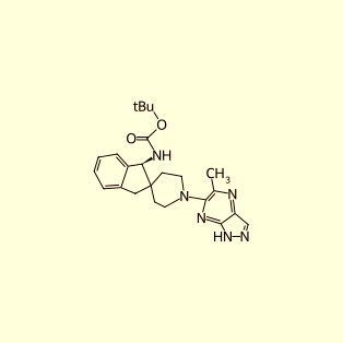 Cc1nc2cn[nH]c2nc1N1CCC2(CC1)Cc1ccccc1[C@H]2NC(=O)OC(C)(C)C